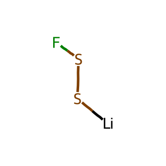 [Li][S]SF